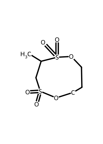 CC1CS(=O)(=O)OCCCOS1(=O)=O